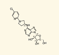 OC[C@H]1O[C@@H](n2cnc3c(N[C@H]4CCN(c5ccc(Cl)cn5)C4)ncnc32)[C@H](O)[C@@H]1O